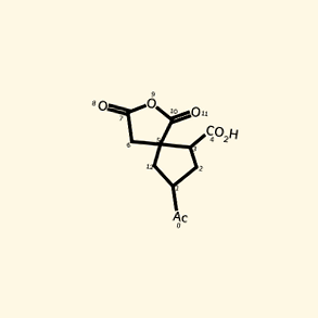 CC(=O)C1CC(C(=O)O)C2(CC(=O)OC2=O)C1